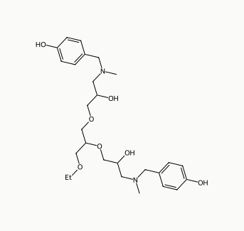 CCOCC(COCC(O)CN(C)Cc1ccc(O)cc1)OCC(O)CN(C)Cc1ccc(O)cc1